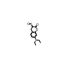 CCN(CC)c1ccc2c(c1)OC(=O)C(=S=O)C2